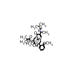 COc1ccccc1C1Cn2cc(/C(C)=N/OC(C)C)c(=O)n(c2=O)C[C@@H](NC(=O)C(C)C)C(C)(C)O1